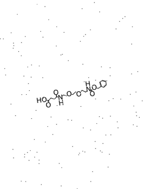 O=C(O)CCC(=O)NCCOCCOCCNC(=O)OCc1ccccc1